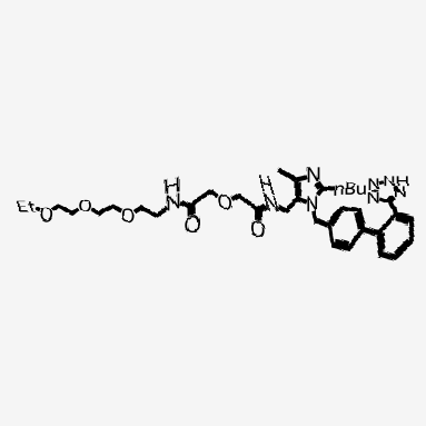 CCCCc1nc(C)c(CNC(=O)COCC(=O)NCCOCCOCCOCC)n1Cc1ccc(-c2ccccc2-c2nn[nH]n2)cc1